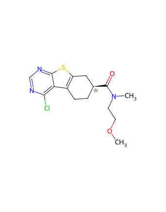 COCCN(C)C(=O)[C@H]1CCc2c(sc3ncnc(Cl)c23)C1